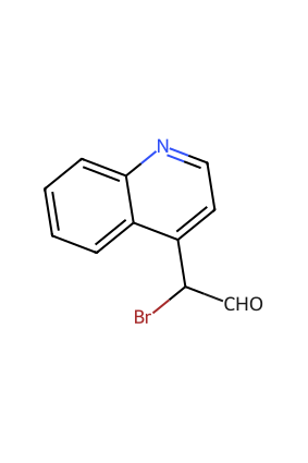 O=CC(Br)c1ccnc2ccccc12